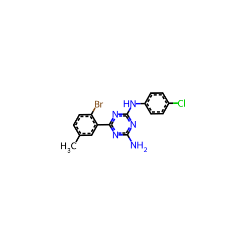 Cc1ccc(Br)c(-c2nc(N)nc(Nc3ccc(Cl)cc3)n2)c1